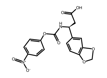 O=C(O)C[C@H](NC(=O)Oc1ccc([N+](=O)[O-])cc1)c1ccc2c(c1)OCO2